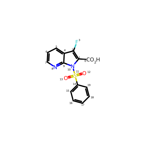 O=C(O)c1c(F)c2cccnc2n1S(=O)(=O)c1ccccc1